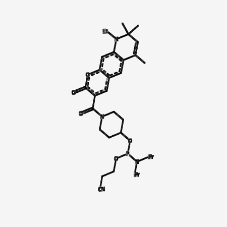 CCN1c2cc3oc(=O)c(C(=O)N4CCC(OP(OCCC#N)N(C(C)C)C(C)C)CC4)cc3cc2C(C)=CC1(C)C